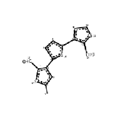 Cc1cc(-c2ccc(-c3ccsc3C=O)s2)c(C=O)s1